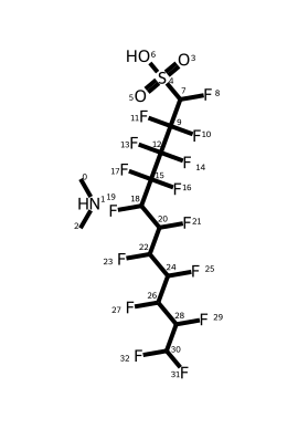 CNC.O=S(=O)(O)C(F)C(F)(F)C(F)(F)C(F)(F)C(F)C(F)C(F)C(F)C(F)C(F)C(F)F